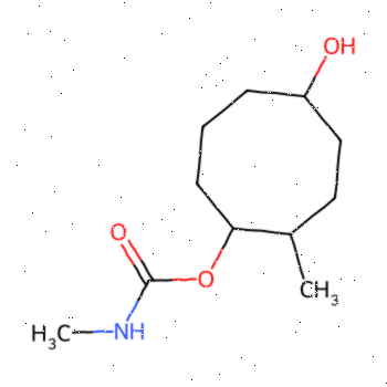 CNC(=O)OC1CCCC(O)CCC1C